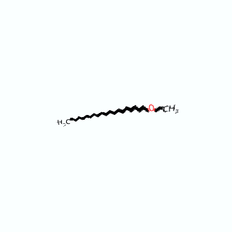 [CH2]CCCCCCCCCCCCCCCCCCCCOCCC